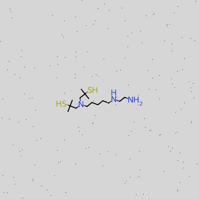 CC(C)(S)CN(CCCCCNCCN)CC(C)(C)S